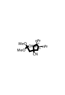 CCC[C@H]1CC(C#N)(CC(OC)(OC)OC)C[C@@H]1CCC